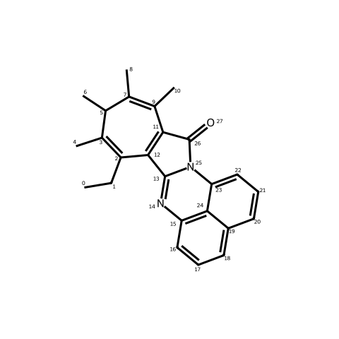 CCC1=C(C)C(C)C(C)=C(C)C2=C1C1=Nc3cccc4cccc(c34)N1C2=O